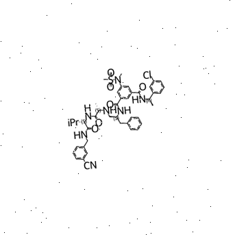 CC(C)[C@H](NC(=O)[C@H](C)NC[C@H](Cc1ccccc1)NC(=O)c1cc(C(=O)N[C@H](C)c2cccc(Cl)c2)cc(N(C)S(C)(=O)=O)c1)C(=O)NCc1cccc(C#N)c1